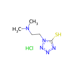 CN(C)CCn1nnnc1S.Cl